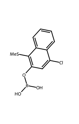 CSc1c(OB(O)O)cc(Cl)c2ccccc12